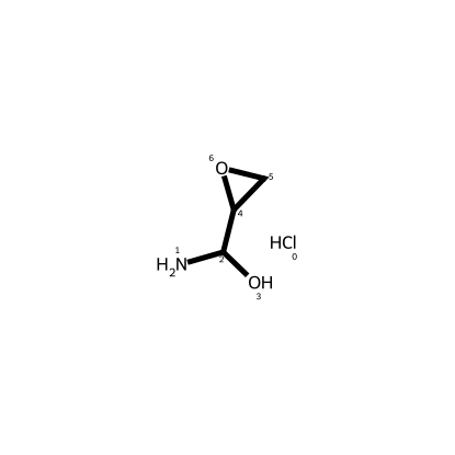 Cl.NC(O)C1CO1